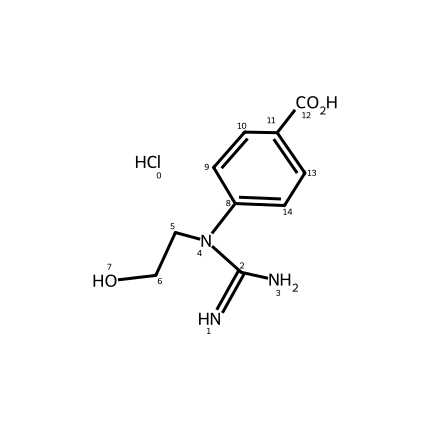 Cl.N=C(N)N(CCO)c1ccc(C(=O)O)cc1